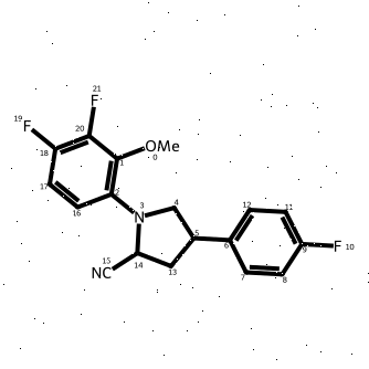 COc1c(N2CC(c3ccc(F)cc3)CC2C#N)ccc(F)c1F